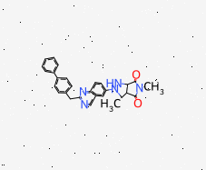 CC1C2C(=O)N(C)C(=O)C2NN1c1ccc2nc(Cc3ccc(-c4ccccc4)cc3)ncc2c1